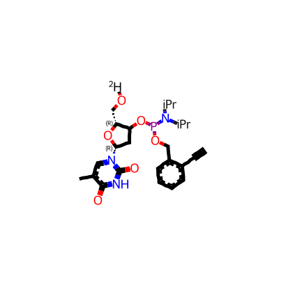 [2H]OC[C@H]1O[C@@H](n2cc(C)c(=O)[nH]c2=O)CC1OP(OCc1ccccc1C#C)N(C(C)C)C(C)C